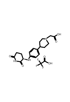 O=C(O)C(F)(F)F.O=C(O)CN1CCC(c2ccc(N[C@@H]3CCC(=O)NC3=O)cc2)CC1